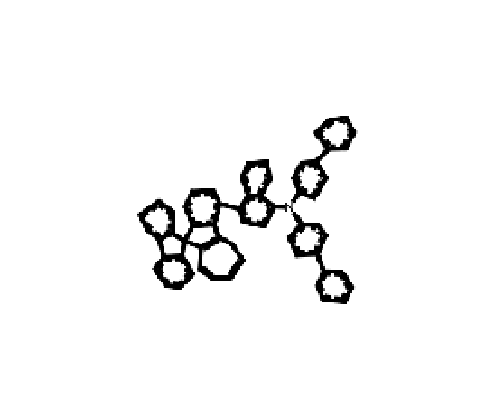 C1=CCC2=C(C=C1)C1(c3ccccc3-c3ccccc31)c1cccc(-c3ccc(N(c4ccc(-c5ccccc5)cc4)c4ccc(-c5ccccc5)cc4)c4ccccc34)c12